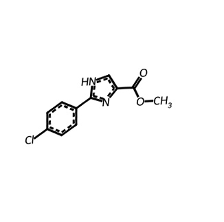 COC(=O)c1c[nH]c(-c2ccc(Cl)cc2)n1